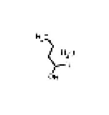 CCCC(O)Cl.O